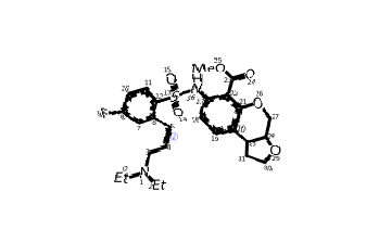 CCN(CC)C/C=C\c1cc(F)ccc1S(=O)(=O)Nc1ccc2c(c1C(=O)OC)OCC1OCCC21